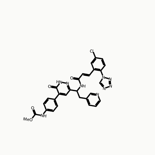 COC(=O)Nc1ccc(-c2cc(C(Cc3cccnc3)NC(=O)/C=C/c3cc(Cl)ccc3-n3cnnn3)n[nH]c2=O)cc1